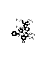 C=CCC1(CC=C)C[C@H]2[C@H](c3cn(Cc4ccccc4)nc3C)N(C(=O)N(C)[C@H](C)c3cc(CC)cc(C(F)(F)F)c3)CCN2C1=O